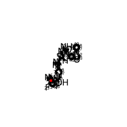 [2H]c1c(-c2cn(C3CCN(CC(O)(Cn4cncn4)c4ccc(F)cc4F)CC3)nn2)sc2nc(N)c(=O)n(-c3ccc4c(c3)N(c3ccccc3)CCO4)c12